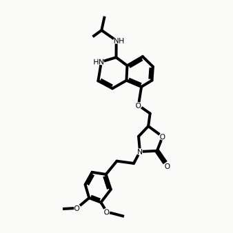 COc1ccc(CCN2CC(COc3cccc4c3C=CNC4NC(C)C)OC2=O)cc1OC